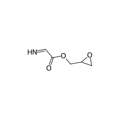 N=CC(=O)OCC1CO1